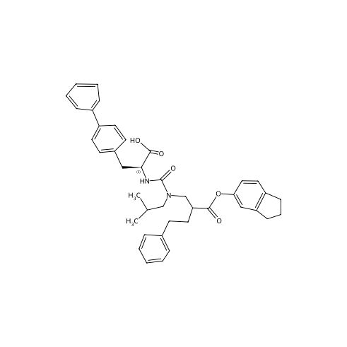 CC(C)CN(CC(CCc1ccccc1)C(=O)Oc1ccc2c(c1)CCC2)C(=O)N[C@@H](Cc1ccc(-c2ccccc2)cc1)C(=O)O